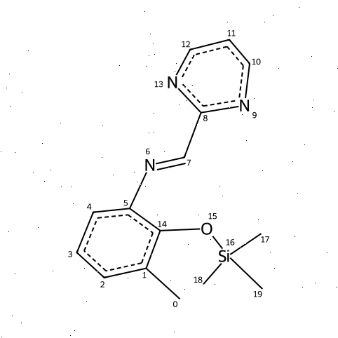 Cc1cccc(N=Cc2ncccn2)c1O[Si](C)(C)C